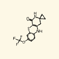 O=C1NC2(CC2)CC2=C1Sc1cc(OC(F)(F)F)ccc1N2